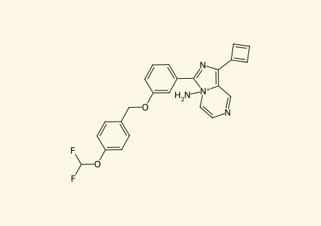 N[N+]12C=CN=CC1=C(C1=CC=C1)N=C2c1cccc(OCc2ccc(OC(F)F)cc2)c1